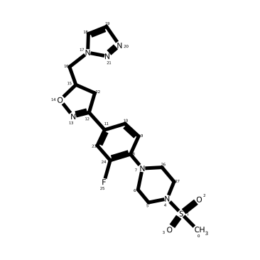 CS(=O)(=O)N1CCN(c2ccc(C3=NOC(Cn4ccnn4)C3)cc2F)CC1